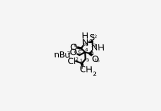 C=C(Cl)CC1(COCCCC)C(=O)NC(=S)NC1=O